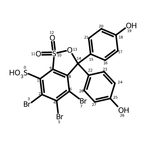 O=S(=O)(O)c1c(Br)c(Br)c(Br)c2c1S(=O)(=O)OC2(c1ccc(O)cc1)c1ccc(O)cc1